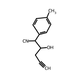 [C-]#[N+]C(c1ccc(C)cc1)C(O)CC#C